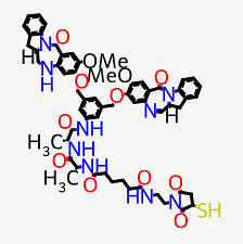 COc1cc2c(cc1OCc1cc(COc3cc4c(cc3OC)C(=O)N3c5ccccc5C[C@H]3CN4)cc(NC(=O)[C@H](C)NC(=O)[C@H](C)NC(=O)CCCCC(=O)NCCN3C(=O)CC(S)C3=O)c1)N=C[C@@H]1Cc3ccccc3N1C2=O